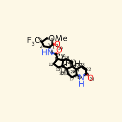 COC(=O)C(CC(C)C(F)(F)F)NC(=O)C1CC[C@H]2[C@@H]3CCC4NC(=O)C=C[C@]4(C)[C@@H]3CC[C@]12C